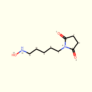 O=C1CCC(=O)N1CCCCCNO